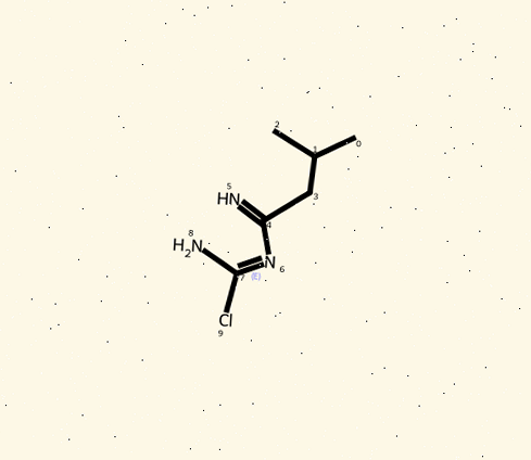 CC(C)CC(=N)/N=C(\N)Cl